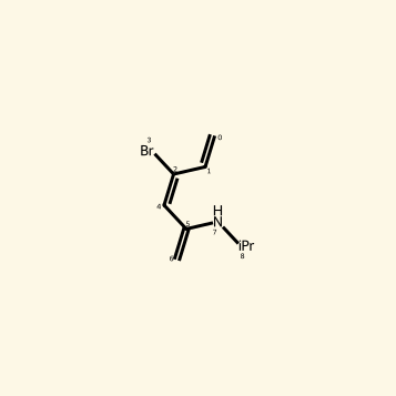 C=C/C(Br)=C\C(=C)NC(C)C